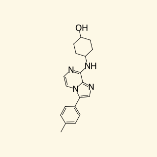 Cc1ccc(-c2cnc3c(NC4CCC(O)CC4)nccn23)cc1